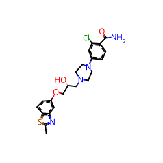 Cc1nc2cc(OC[C@H](O)CN3CCN(c4ccc(C(N)=O)c(Cl)c4)CC3)ccc2s1